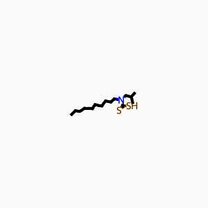 CCCCCCCCCCN(CC(C)C)C(=S)S